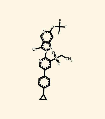 CCS(=O)(=O)c1cc(-c2ccc(C3CC3)cc2)cnc1-n1nc2cc(SC(F)(F)F)ncc2c1Cl